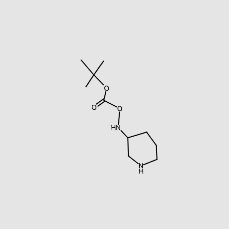 CC(C)(C)OC(=O)ONC1CCCNC1